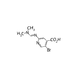 CN(C)/C=N/c1cc(C(=O)O)c(Br)cn1